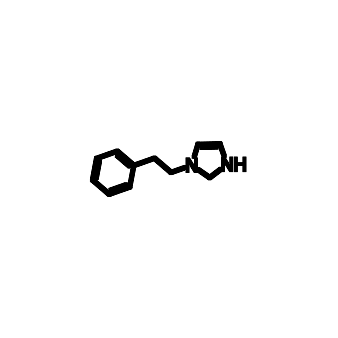 C1=CN(CCc2ccccc2)CN1